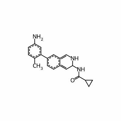 Cc1ccc(N)cc1-c1ccc2c(c1)=CNC(NC(=O)C1CC1)C=2